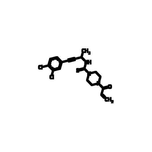 C=CC(=O)N1CCN(C(=S)NC(C)C#Cc2ccc(Cl)c(Cl)c2)CC1